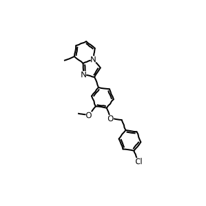 COc1cc(-c2cn3cccc(C)c3n2)ccc1OCc1ccc(Cl)cc1